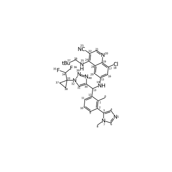 Cc1c(-c2cncn2C)cccc1C(Nc1cc(Cl)c2ncc(C#N)c(NCC(C)(C)C)c2c1)c1cn(C2(C(F)F)CC2)nn1